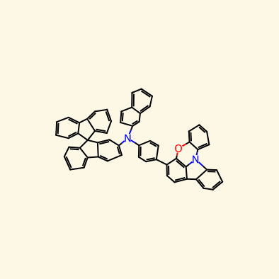 c1ccc2c(c1)Oc1c(-c3ccc(N(c4ccc5c(c4)C4(c6ccccc6-c6ccccc64)c4ccccc4-5)c4ccc5ccccc5c4)cc3)ccc3c4ccccc4n-2c13